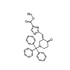 CC(C)(C)OC(=O)n1cnc(/C=C2\CN(C(c3ccccc3)(c3ccccc3)c3ccccc3)CCC2=O)n1